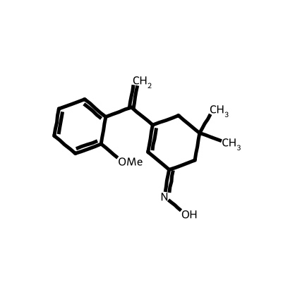 C=C(C1=C/C(=N/O)CC(C)(C)C1)c1ccccc1OC